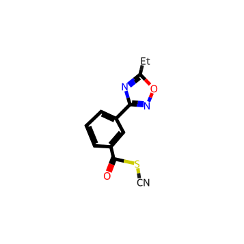 CCc1nc(-c2cccc(C(=O)SC#N)c2)no1